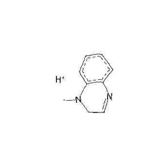 CN1CC=Nc2ccccc21.[H+]